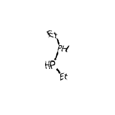 CCPPCC